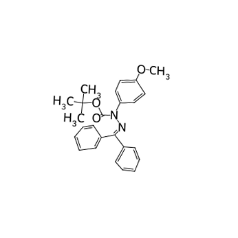 COc1ccc(N(N=C(c2ccccc2)c2ccccc2)C(=O)OC(C)(C)C)cc1